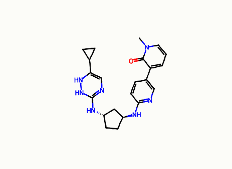 Cn1cccc(-c2ccc(N[C@H]3CC[C@H](NC4=NC=C(C5CC5)NN4)C3)nc2)c1=O